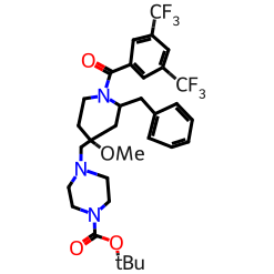 COC1(CN2CCN(C(=O)OC(C)(C)C)CC2)CCN(C(=O)c2cc(C(F)(F)F)cc(C(F)(F)F)c2)C(Cc2ccccc2)C1